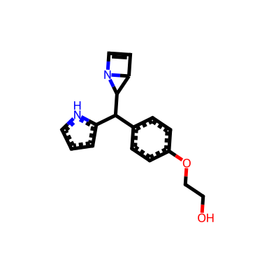 OCCOc1ccc(C(c2ccc[nH]2)C2C3C=CN32)cc1